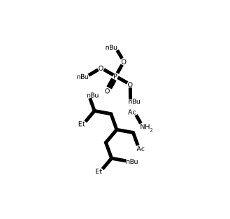 CC(N)=O.CCCCC(CC)CC(CC(C)=O)CC(CC)CCCC.CCCCOP(=O)(OCCCC)OCCCC